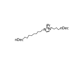 CCCCCCCCCCCCCCCCCCCn1cc[n+](CCCCCCCCCCCCCC)c1C(C)C